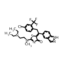 CCN(CC)CCN(C)C1=NC(=O)C(=C(Cc2ccc(Cl)cc2C(F)(F)F)c2ccc3[nH]ncc3c2)S1